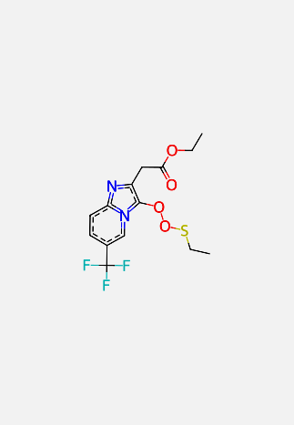 CCOC(=O)Cc1nc2ccc(C(F)(F)F)cn2c1OOSCC